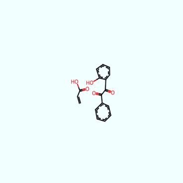 C=CC(=O)O.O=C(C(=O)c1ccccc1O)c1ccccc1